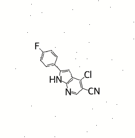 N#Cc1cnc2[nH]c(-c3ccc(F)cc3)cc2c1Cl